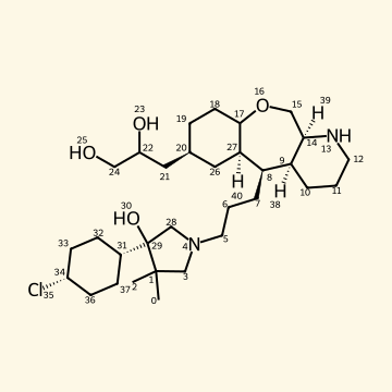 CC1(C)CN(CCC[C@@H]2[C@@H]3CCCN[C@@H]3COC3CC[C@H](CC(O)CO)C[C@@H]32)CC1(O)[C@H]1CC[C@@H](Cl)CC1